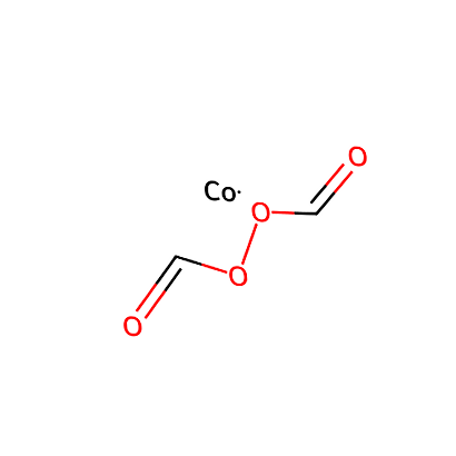 O=COOC=O.[Co]